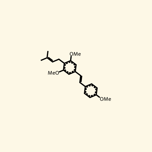 COc1ccc(C=Cc2cc(OC)c(CC=C(C)C)c(OC)c2)cc1